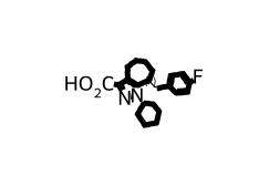 O=C(O)c1nn(C2CCCCC2)c2c1CCCC[C@@H]2Cc1ccc(F)cc1